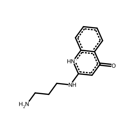 NCCCNc1cc(=O)c2ccccc2[nH]1